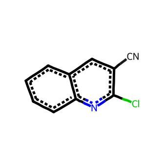 N#Cc1cc2ccccc2nc1Cl